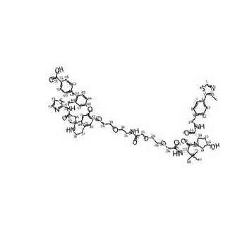 Cc1ncsc1-c1ccc(CNC(=O)[C@@H]2C[C@@H](O)CN2C(=O)[C@@H](NC(=O)COCCOCC(=O)NCCOCCOc2cc3c(cc2Oc2ccc(-c4ccc(C(=O)O)cc4)c(F)c2)[C@@](C)(CC(=O)Nc2nccs2)NCC3)C(C)(C)C)cc1